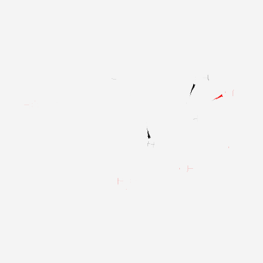 C[C@]12CC[C@@H]3c4ccc(O)cc4CC[C@H]3[C@@H]1[C@@H](O)[C@@H](O)[C@@H]2O.O